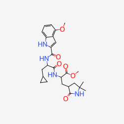 COC(=O)C(CC1CC(C)(C)NC1=O)NC(=O)C(CC1CC1)NC(=O)c1cc2c(OC)cccc2[nH]1